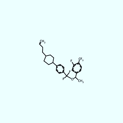 C=CCCC1CCC(c2ccc(C(F)(F)OC(C)c3ccc(C(F)(F)F)c(F)c3)cc2)CC1